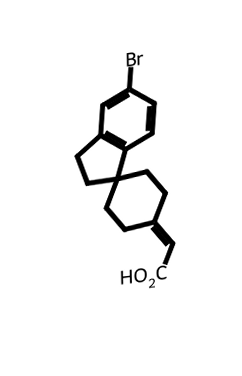 O=C(O)C=C1CCC2(CC1)CCc1cc(Br)ccc12